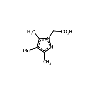 Cc1nn(CC(=O)O)c(C)c1C(C)(C)C